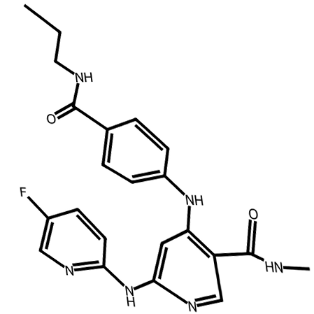 CCCNC(=O)c1ccc(Nc2cc(Nc3ccc(F)cn3)ncc2C(=O)NC)cc1